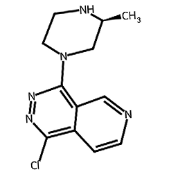 C[C@H]1CN(c2nnc(Cl)c3ccncc23)CCN1